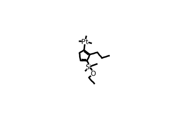 CCCC1=[C]([Pt]([CH3])([CH3])[CH3])CC=C1[Si](C)(C)OCC